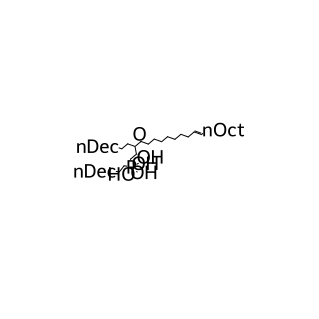 CCCCCCCCC=CCCCCCCCC(=O)C(CCCCCCCCCCCC)C(O)CP(O)(O)(O)CCCCCCCCCCCC